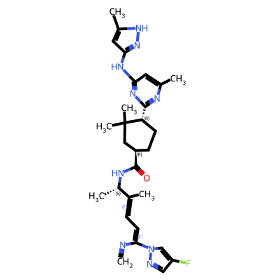 C=N/C(=C\C=C(/C)[C@H](C)NC(=O)[C@@H]1CC[C@@H](c2nc(C)cc(Nc3cc(C)[nH]n3)n2)C(C)(C)C1)n1cc(F)cn1